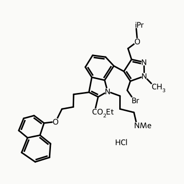 CCOC(=O)c1c(CCCOc2cccc3ccccc23)c2cccc(-c3c(COC(C)C)nn(C)c3CBr)c2n1CCCNC.Cl